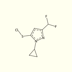 FC(F)c1cc(SCl)n(C2CC2)n1